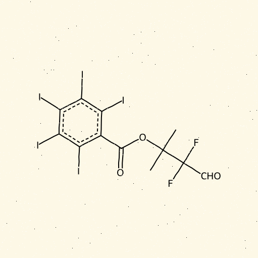 CC(C)(OC(=O)c1c(I)c(I)c(I)c(I)c1I)C(F)(F)C=O